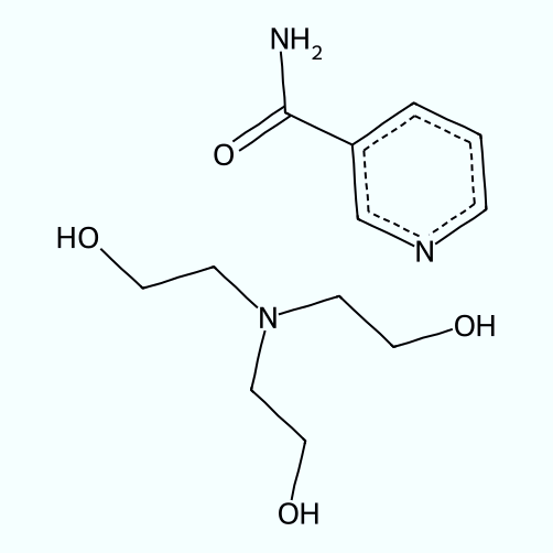 NC(=O)c1cccnc1.OCCN(CCO)CCO